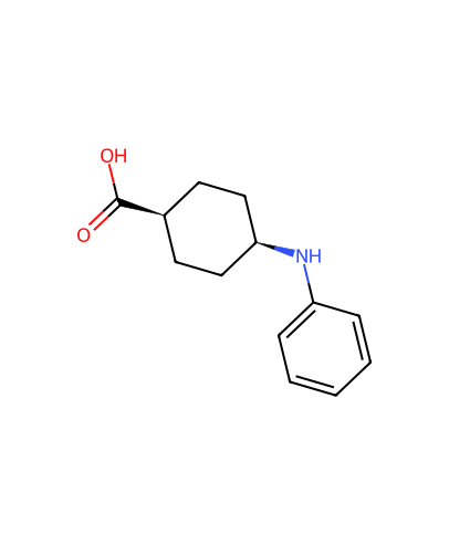 O=C(O)[C@H]1CC[C@@H](Nc2ccccc2)CC1